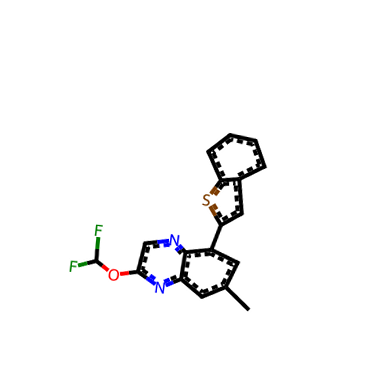 Cc1cc(-c2cc3ccccc3s2)c2ncc(OC(F)F)nc2c1